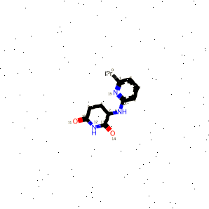 CC(C)c1cccc(NC2CCC(=O)NC2=O)n1